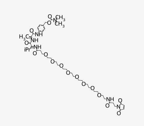 CC(C)[C@H](NC(=O)CCOCCOCCOCCOCCOCCOCCOCCOCCNC(=O)CCN1C(=O)C=CC1=O)C(=O)N[C@@H](C)C(=O)Nc1ccc(COC(=O)N(C)C)cc1